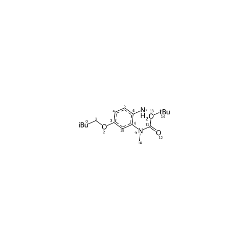 CCC(C)COc1ccc(N)c(N(C)C(=O)OC(C)(C)C)c1